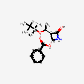 CC(O[Si](C)(C)C(C)(C)C)[C@H]1C(=O)N[C@@H]1OC(=O)c1ccccc1